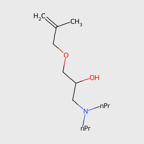 C=C(C)COCC(O)CN(CCC)CCC